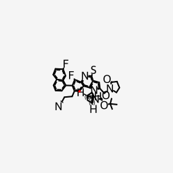 CSc1nc2c(F)c(-c3cccc4ccc(F)cc34)c(CCC#N)cc2c2c1cc(CN1CCCC1=O)n2[C@H]1[C@@H]2C[C@H]1N(C(=O)OC(C)(C)C)C2